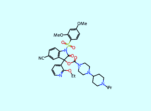 CCOc1ncccc1C1(OC(=O)N2CCN(C3CCN(C(C)C)CC3)CC2)C(=O)N(S(=O)(=O)c2ccc(OC)cc2OC)c2ccc(C#N)cc21